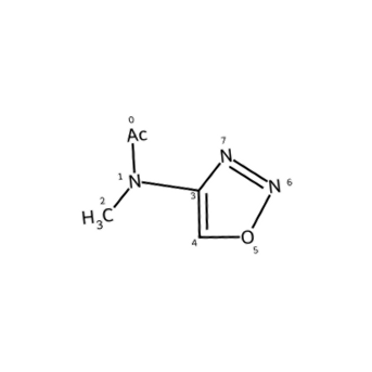 CC(=O)N(C)c1conn1